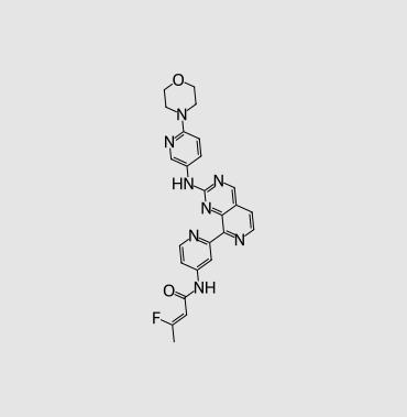 CC(F)=CC(=O)Nc1ccnc(-c2nccc3cnc(Nc4ccc(N5CCOCC5)nc4)nc23)c1